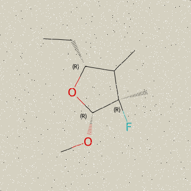 CC[C@H]1O[C@@H](OC)[C@](C)(F)C1C